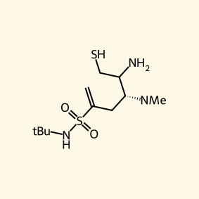 C=C(C[C@@H](NC)C(N)CS)S(=O)(=O)NC(C)(C)C